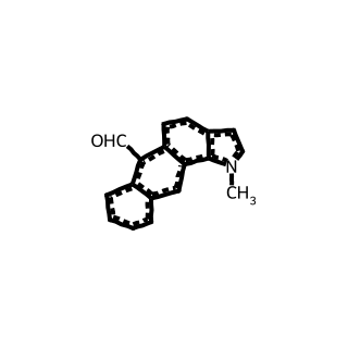 Cn1ccc2ccc3c(C=O)c4ccccc4cc3c21